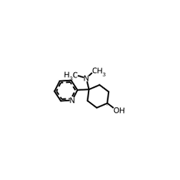 CN(C)C1(c2ccccn2)CC[C](O)CC1